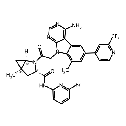 Cc1cc(-c2ccnc(C(F)(F)F)c2)cc2c3c(N)ncnc3n(CC(=O)N3[C@H](C(=O)Nc4cccc(Br)n4)C[C@@]4(C)C[C@@H]34)c12